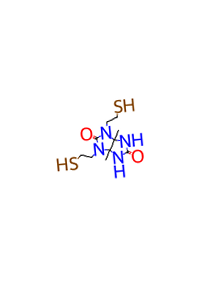 CC12NC(=O)NC1(C)N(CCS)C(=O)N2CCS